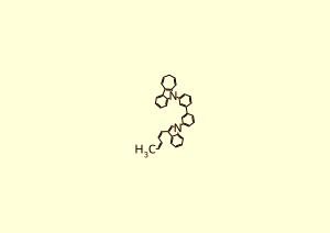 C/C=C\C=C/c1cn(-c2cccc(-c3cccc(-n4c5c(c6ccccc64)C=CCC=C5)c3)c2)c2ccccc12